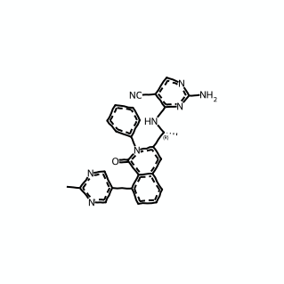 Cc1ncc(-c2cccc3cc([C@@H](C)Nc4nc(N)ncc4C#N)n(-c4ccccc4)c(=O)c23)cn1